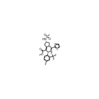 COC(=O)C1=C2C[C@H](NS(C)(=O)=O)CN2C(c2nccs2)=N[C@H]1c1ccc(F)cc1C(F)(F)F